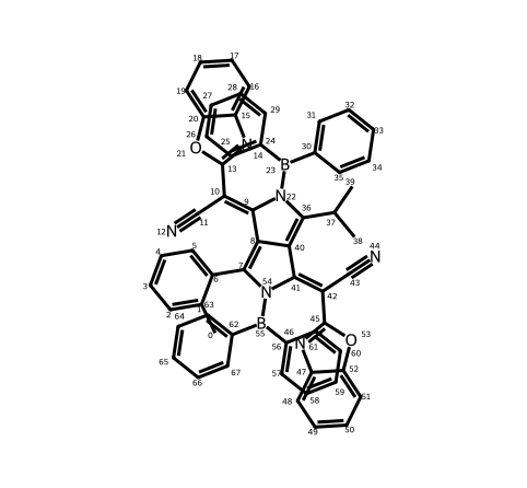 Cc1ccccc1-c1c2/c(=C(\C#N)c3nc4ccccc4o3)n(B(c3ccccc3)c3ccccc3)c(C(C)C)c2/c(=C(\C#N)c2nc3ccccc3o2)n1B(c1ccccc1)c1ccccc1